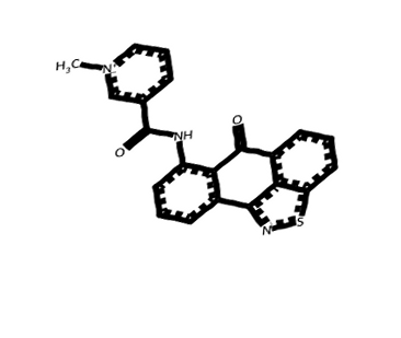 C[n+]1cccc(C(=O)Nc2cccc3c2C(=O)c2cccc4snc-3c24)c1